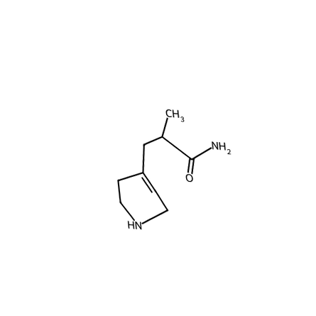 CC(CC1=CCNCC1)C(N)=O